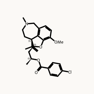 C=C(C)[C@@]12CCN(C)Cc3ccc(OC)c(c31)O[C@H]2C[C@H](C)OC(=O)c1ccc(Cl)cc1